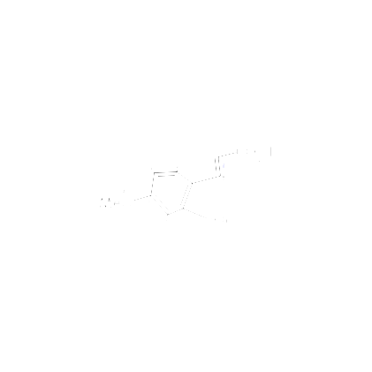 CCCCCCCCc1cc(OC)ccc1/C=C/C(=O)O